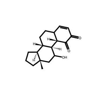 C[C@@]12CCC[C@H]1[C@@H]1CCC3C=CC(=O)C(=O)[C@@H]3[C@H]1C(O)C2